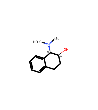 CC(C)(C)N(C(=O)O)[C@@H]1c2ccccc2CC[C@H]1O